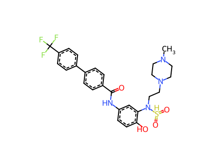 CN1CCN(CCN(c2cc(NC(=O)c3ccc(-c4ccc(C(F)(F)F)cc4)cc3)ccc2O)[SH](=O)=O)CC1